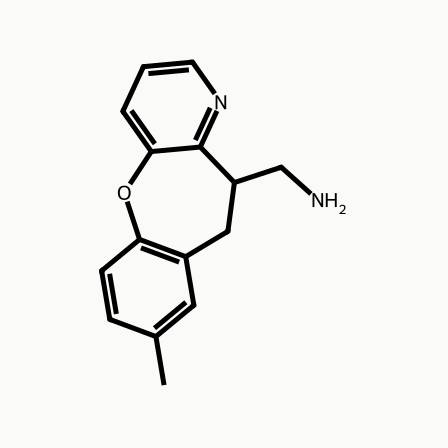 Cc1ccc2c(c1)CC(CN)c1ncccc1O2